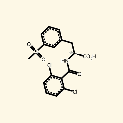 CS(=O)(=O)c1cccc(C[C@H](NC(=O)c2c(Cl)cccc2Cl)C(=O)O)c1